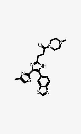 Cc1csc(-c2nc(CCC(=O)N3CCN(C)CC3)[nH]c2-c2ccc3ncsc3c2)n1